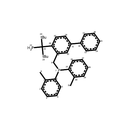 Cc1ccccc1P(Cc1cc(-c2ccccc2)ccc1C(P)(C(C)(C)C)C(C)(C)C)c1ccccc1C